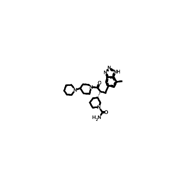 Cc1cc(CC(C(=O)N2CCC(N3CCCCC3)CC2)[C@H]2CCCN(C(N)=O)C2)cc2nn[nH]c12